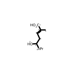 CCCC(O)CC=C(C)C(=O)O